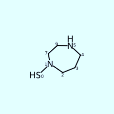 SN1CCCNCC1